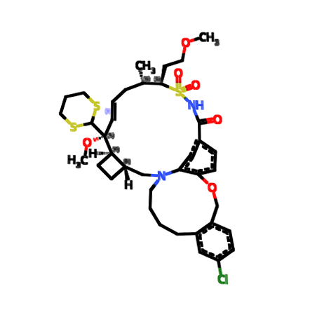 COCC[C@@H]1[C@@H](C)C/C=C/[C@](OC)(C2SCCCS2)[C@@H]2CC[C@H]2CN2CCCCc3cc(Cl)ccc3COc3ccc(cc32)C(=O)NS1(=O)=O